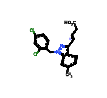 O=C(O)C/C=C/c1nn(Cc2ccc(Cl)cc2Cl)c2cc(C(F)(F)F)ccc12